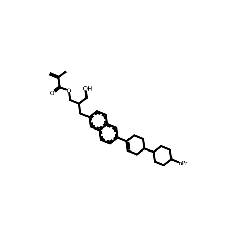 C=C(C)C(=O)OCC(CO)Cc1ccc2cc(C3=CCC(C4CCC(CCC)CC4)CC3)ccc2c1